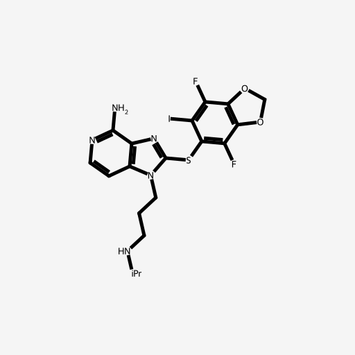 CC(C)NCCCn1c(Sc2c(F)c3c(c(F)c2I)OCO3)nc2c(N)nccc21